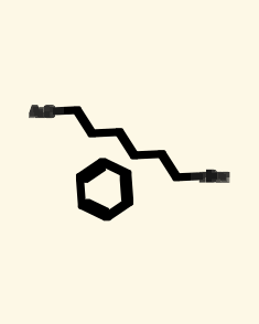 CCCCCCCCCCCCCCCCOC(C)=O.c1ccccc1